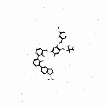 CNc1cncc(COc2cc(OCc3cccc(-c4cccc(-c5ccc6c(c5)CC[C@H]6N(C)C)c4C)c3C)c(Cl)cc2CNC(C)(CO)C(=O)O)c1